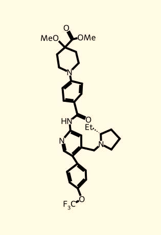 CC[C@@H]1CCCN1Cc1cc(NC(=O)c2ccc(N3CCC(OC)(C(=O)OC)CC3)cc2)ncc1-c1ccc(OC(F)(F)F)cc1